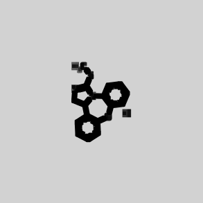 CSC1=NCC2c3ccccc3Oc3ccccc3N12.I